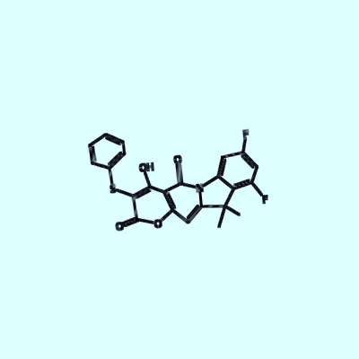 CC1(C)c2c(F)cc(F)cc2-n2c1cc1oc(=O)c(Sc3ccccc3)c(O)c1c2=O